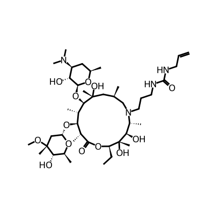 C=CCNC(=O)NCCCN1C[C@H](C)C[C@@](C)(O)[C@H](O[C@@H]2O[C@H](C)C[C@H](N(C)C)[C@H]2O)[C@@H](C)[C@H](O[C@H]2C[C@@](C)(OC)[C@@H](O)[C@H](C)O2)[C@@H](C)C(=O)O[C@H](CC)[C@@](C)(O)[C@H](O)[C@H]1C